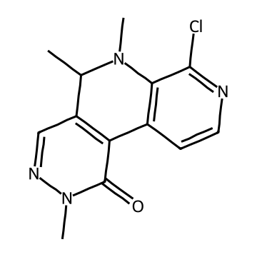 CC1c2cnn(C)c(=O)c2-c2ccnc(Cl)c2N1C